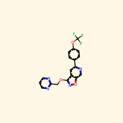 FC(F)(F)Oc1ccc(-c2cc3c(OCc4ncccn4)noc3cn2)cc1